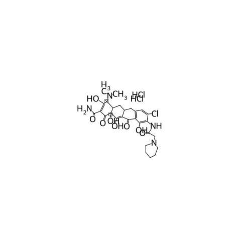 CN(C)[C@@H]1C(O)=C(C(N)=O)C(=O)[C@@]2(O)C(O)=C3C(=O)c4c(cc(Cl)c(NC(=O)CN5CCCCC5)c4O)CC3CC12.Cl.Cl